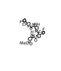 COC(=O)N1CCc2[nH]nc(C(=O)N3CCC(c4cccc(F)c4C(F)(F)F)C(CCN4CCc5[nH]nc(C(=O)N6CCC(c7cccc(F)c7C(F)(F)F)CC6)c5C4)C3)c2C1